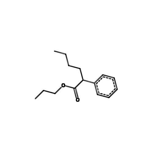 CCCCC(C(=O)OCCC)c1ccccc1